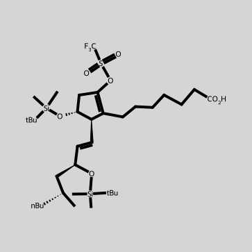 CCCC[C@@H](C)C[C@@H](/C=C/[C@@H]1C(CCCCCCC(=O)O)=C(OS(=O)(=O)C(F)(F)F)C[C@H]1O[Si](C)(C)C(C)(C)C)O[Si](C)(C)C(C)(C)C